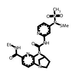 CCNC(=O)c1ccc2c(n1)N(C(=O)Nc1cc(N(SC)S(C)(=O)=O)ccn1)C1CCN2C1